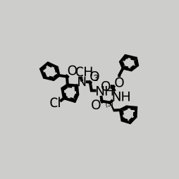 CN(C(=O)CNC(=O)[C@H](Cc1ccccc1)NC(=O)OCc1ccccc1)c1ccc(Cl)cc1C(=O)c1ccccc1